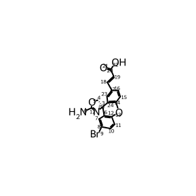 NC1=N[C@]2(CO1)c1cc(Br)ccc1Oc1ccc(C=CC(=O)O)cc12